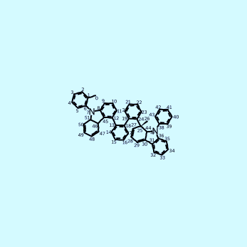 Cc1ccccc1N1c2cccc(-c3ccccc3-c3ccccc3[C@@]3(C)C=CC=C4c5ccccc5N(c5ccccc5)C43)c2C2C=CC=CC21